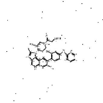 COCC(=O)N1CC[C@H](n2c(C)nc3cnc4cc(F)c(-c5ccc(Oc6ncccn6)cc5Cl)cc4c32)[C@@H](F)C1